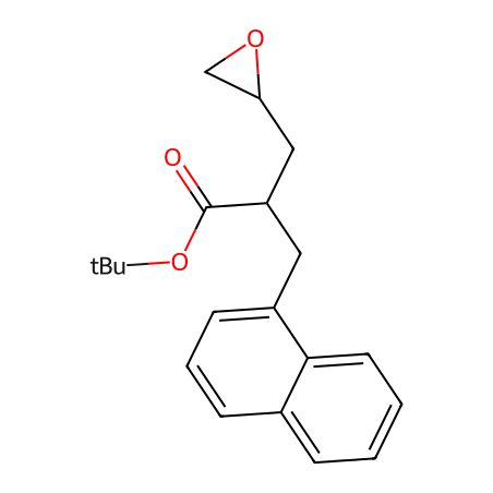 CC(C)(C)OC(=O)C(Cc1cccc2ccccc12)CC1CO1